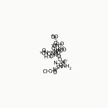 [C-]#[N+]c1c(N)nc(SCc2coc(-c3ccc(Cl)cc3)n2)c(C#N)c1-c1ccc(OC[C@@H](COC(=O)[C@H](C)CC(=O)[C@H](CCCCC(=O)OC(C)(C)C)NC(=O)OC(C)(C)C)OC(=O)[C@H](C)NC(=O)[C@H](CCCNC(=O)OC(C)(C)C)NC(=O)OC(C)(C)C)cc1